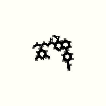 COc1c(NCCN(CI)c2cc(C)nc(C)c2)cnc2c(-c3ccc(C#N)cc3)cccc12